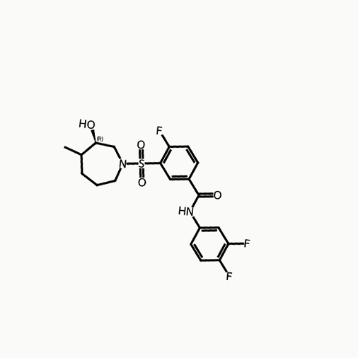 CC1CCCN(S(=O)(=O)c2cc(C(=O)Nc3ccc(F)c(F)c3)ccc2F)C[C@@H]1O